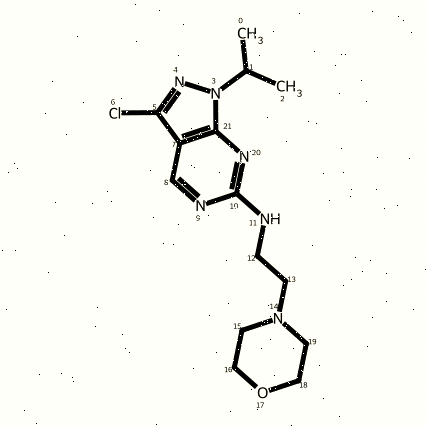 CC(C)n1nc(Cl)c2cnc(NCCN3CCOCC3)nc21